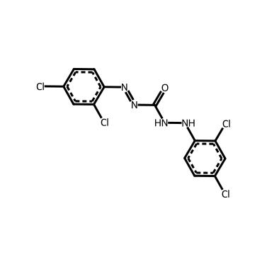 O=C(N=Nc1ccc(Cl)cc1Cl)NNc1ccc(Cl)cc1Cl